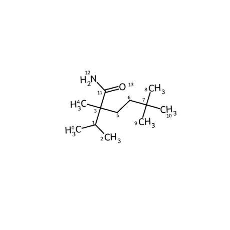 CC(C)C(C)(CCC(C)(C)C)C(N)=O